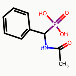 CC(=O)NC(c1ccccc1)P(=O)(O)O